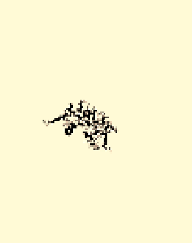 CC[C@H](C)[C@H](NC(=O)[C@H](CO)NC(=O)[C@H](CCCCN)NC(=O)[C@H](CCSC)NC(=O)[C@@H](NC(=O)[C@H](CCCCN)NC(=O)[C@H](Cc1ccccc1)NC(=O)[C@H](Cc1c[nH]c2ccccc12)NC(=O)[C@H](CCCCN)NC(=O)[C@@H](NC(=O)[C@@H](N)CCCCN)[C@@H](C)CC)[C@@H](C)O)C(=O)N[C@@H](C)C(=O)O